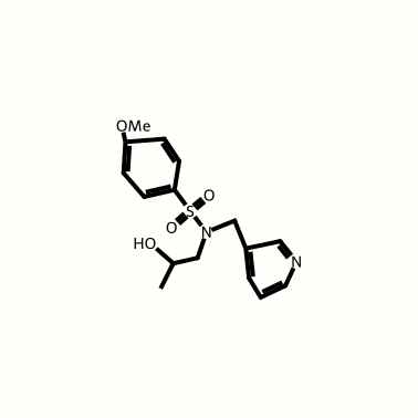 COc1ccc(S(=O)(=O)N(Cc2cccnc2)CC(C)O)cc1